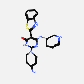 NC1CCN(c2nc(N[C@@H]3CCCNC3)c(-c3nc4ccccc4s3)c(=O)[nH]2)CC1